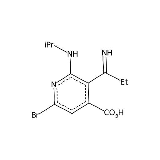 CCC(=N)c1c(C(=O)O)cc(Br)nc1NC(C)C